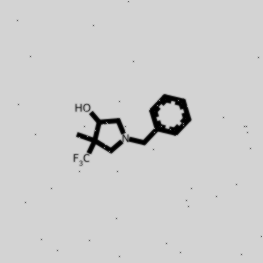 CC1(C(F)(F)F)CN(Cc2ccccc2)CC1O